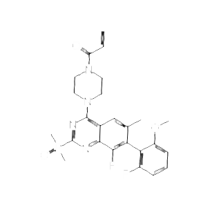 C=CC(=O)N1CCN(c2nc(P(C)(C)=O)nc3c(F)c(-c4c(F)cccc4OC)c(C)cc23)CC1